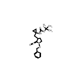 CC(C)(C)OC(=O)NC1(CC2CCN(OCc3ccccc3)C2=C=O)CC1